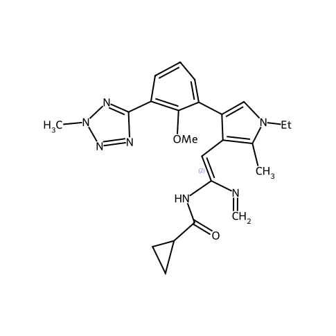 C=N/C(=C\c1c(-c2cccc(-c3nnn(C)n3)c2OC)cn(CC)c1C)NC(=O)C1CC1